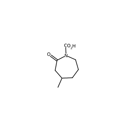 CC1CCCN(C(=O)O)C(=O)C1